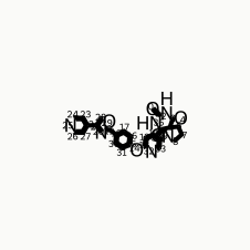 O=C1NC(=O)C2(CCCN2c2ccc(Oc3ccc(-c4nc(-c5ccncc5)co4)cc3)nc2)C(=O)N1